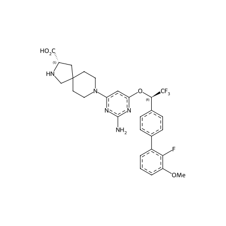 COc1cccc(-c2ccc([C@@H](Oc3cc(N4CCC5(CC4)CN[C@H](C(=O)O)C5)nc(N)n3)C(F)(F)F)cc2)c1F